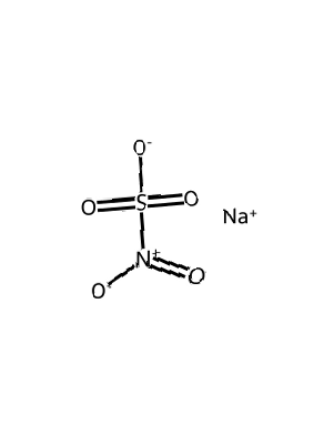 O=[N+]([O-])S(=O)(=O)[O-].[Na+]